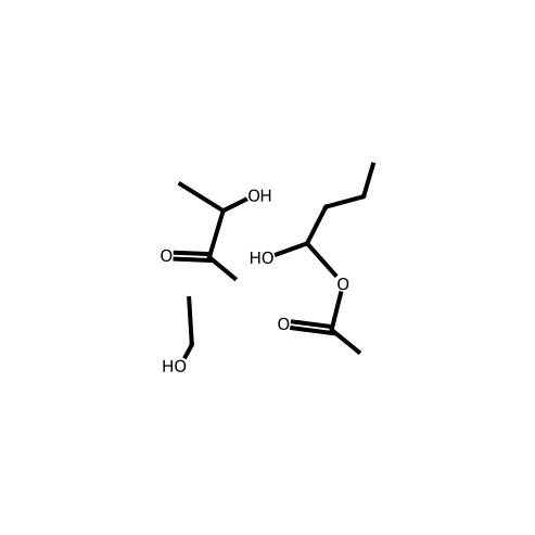 CC(=O)C(C)O.CCCC(O)OC(C)=O.CCO